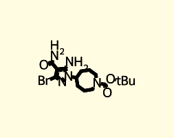 CC(C)(C)OC(=O)N1CCCC(n2nc(Br)c(C(N)=O)c2N)CCC1